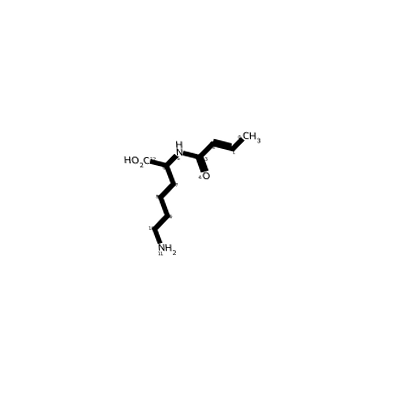 C/C=C/C(=O)NC(CCCCN)C(=O)O